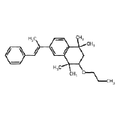 CCCOC1CC(C)(C)c2ccc(C(C)=Cc3ccccc3)cc2C1(C)C